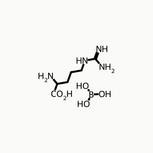 N=C(N)NCCCC(N)C(=O)O.OB(O)O